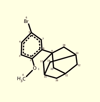 COc1ccc(Br)cc1C12CC3CC(CC(C3)C1)C2